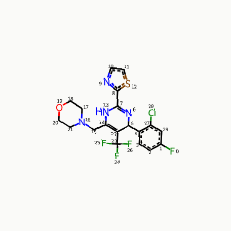 Fc1ccc(C2N=C(c3nccs3)NC(CN3CCOCC3)=C2C(F)(F)F)c(Cl)c1